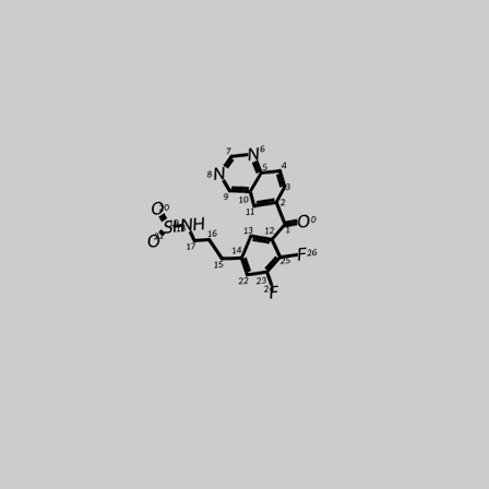 O=C(c1ccc2ncncc2c1)c1cc(CCCN[SH](=O)=O)cc(F)c1F